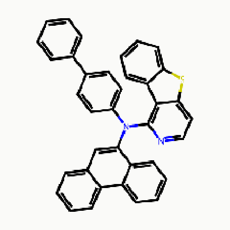 c1ccc(-c2ccc(N(c3cc4ccccc4c4ccccc34)c3nccc4sc5ccccc5c34)cc2)cc1